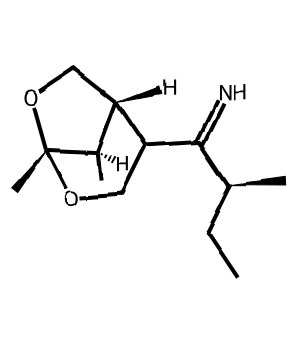 CC[C@H](C)C(=N)C1CO[C@]2(C)OC[C@H]1[C@H]2C